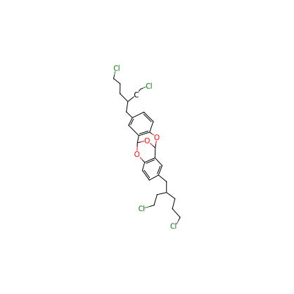 ClCCCC(CCCl)Cc1ccc2c(c1)C1Oc3ccc(CC(CCCl)CCCCl)cc3C(O2)O1